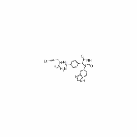 CCC#CCN(N)/N=C(\N)c1ccc(C2C(=O)NC(=O)N2c2ccc3[nH]cnc3c2)cc1